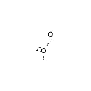 CCCCN(CC(O)COc1ccc(OCCO)c2c1CCC(=O)N2)Oc1ccc(Br)cc1